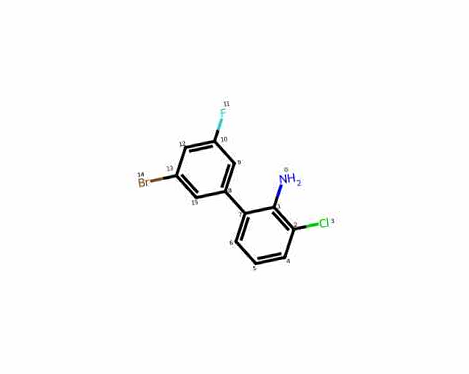 Nc1c(Cl)cccc1-c1cc(F)cc(Br)c1